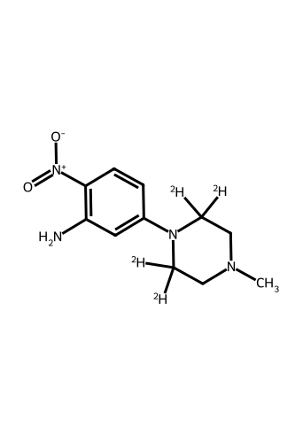 [2H]C1([2H])CN(C)CC([2H])([2H])N1c1ccc([N+](=O)[O-])c(N)c1